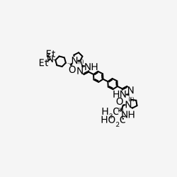 CCN(CC)[C@H]1CC[C@@H](C(=O)N2CCC[C@H]2c2ncc(-c3ccc(-c4ccc(-c5cnc([C@@H]6CCCN6C(=O)[C@H](C)NC(=O)O)[nH]5)cc4)cc3)[nH]2)CC1